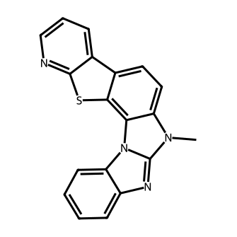 Cn1c2ccc3c4cccnc4sc3c2n2c3ccccc3nc12